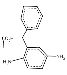 CC(=O)O.Nc1ccc(N)c(Cc2ccccc2)c1